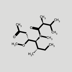 CC[C@H](C)[C@@H]([C@@H](CC(C)=O)OC)N(C)C(=O)[C@@H](C)C(C)C